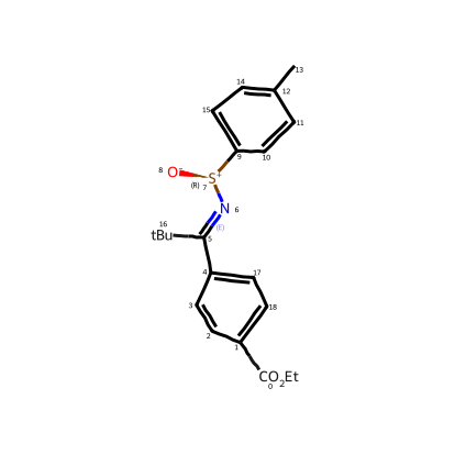 CCOC(=O)c1ccc(/C(=N/[S@@+]([O-])c2ccc(C)cc2)C(C)(C)C)cc1